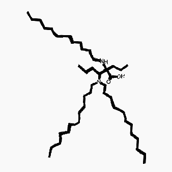 CCCCCCCCCCCCNC(CCC)(C(=O)O)C(CCC)N(CCCCCCCCCCCC)CCCCCCCCCCCC